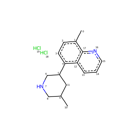 Cc1ccc(C2CNCC(C)C2)c2cccnc12.Cl.Cl